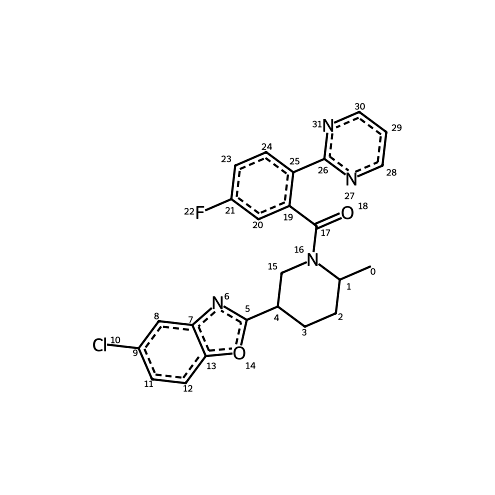 CC1CCC(c2nc3cc(Cl)ccc3o2)CN1C(=O)c1cc(F)ccc1-c1ncccn1